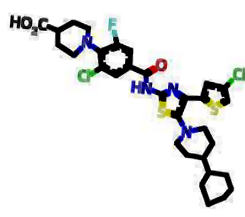 O=C(Nc1nc(-c2cc(Cl)cs2)c(N2CCC(C3CCCCC3)CC2)s1)c1cc(F)c(N2CCC(C(=O)O)CC2)c(Cl)c1